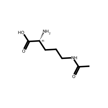 CC(=O)NCCC[C@@H](N)C(=O)O